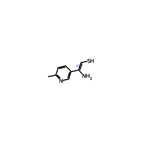 Cc1ccc(/C(N)=C/S)cn1